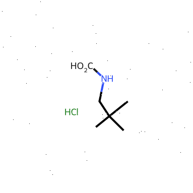 CC(C)(C)CNC(=O)O.Cl